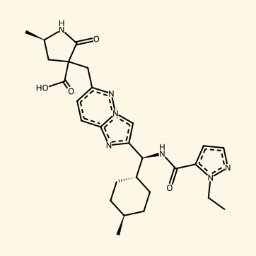 CCn1nccc1C(=O)N[C@H](c1cn2nc(CC3(C(=O)O)C[C@@H](C)NC3=O)ccc2n1)[C@H]1CC[C@H](C)CC1